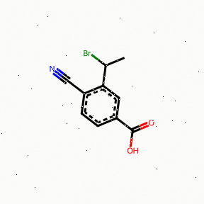 CC(Br)c1cc(C(=O)O)ccc1C#N